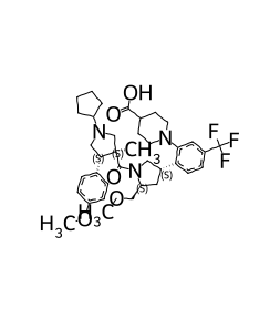 COC[C@@H]1C[C@@H](c2ccc(C(F)(F)F)cc2N2CCC(C(=O)O)CC2)CN1C(=O)[C@]1(C)CN(C2CCCC2)C[C@H]1c1ccc(OC)cc1